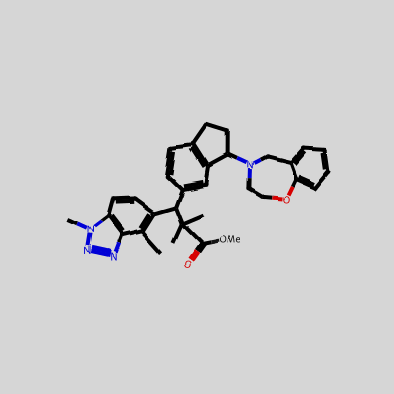 COC(=O)C(C)(C)C(c1ccc2c(c1)C(N1CCOc3ccccc3C1)CC2)c1ccc2c(nnn2C)c1C